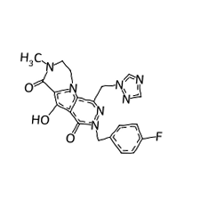 CN1CCn2c(c(O)c3c(=O)n(Cc4ccc(F)cc4)nc(Cn4cncn4)c32)C1=O